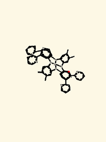 Cc1cc2c(cc1C)N(c1ccnc(-c3ccccn3)c1)[Si]1(N2c2ccnc(-c3ccccn3)c2)N(c2ccnc(-c3ccccn3)c2)c2cc(C)c(C)cc2N1c1ccnc(-c2ccccn2)c1